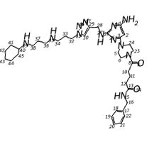 Nc1cc(N2CCN(C(=O)CCCC(=O)NCc3ccccc3)CC2)nc(NCc2cn(CCCNCCCNC3CCCCC3)nn2)n1